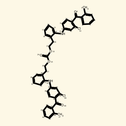 Cc1ccccc1C(=O)c1ccc(Nc2ccccc2CCOC(=O)OCCc2ccccc2Nc2ccc(C(=O)c3ccccc3C)c(Cl)c2)cc1Cl